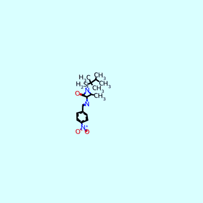 CC1C(/N=C/c2ccc([N+](=O)[O-])cc2)C(=O)N1[SiH2]C(C)(C)C(C)C